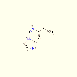 CCc1cc2nccn2cn1